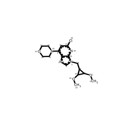 COC1C(Cn2cnc3c(N4CCOCC4)cc(Cl)nc32)C1OC